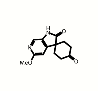 COc1cc2c(cn1)NC(=O)C21CCC(=O)CC1